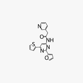 O=C(Cc1cccnc1)Nc1cc(-c2cccs2)nc(-c2ccco2)n1